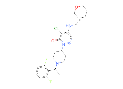 CC(c1c(F)cccc1F)N1CCC(n2ncc(NC[C@H]3CCCOC3)c(Cl)c2=O)CC1